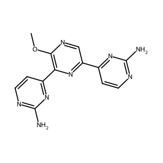 COc1ncc(-c2ccnc(N)n2)nc1-c1ccnc(N)n1